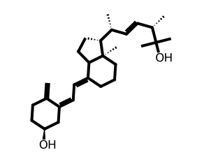 C=C1CC[C@H](O)C/C1=C/C=C1\CCC[C@@]2(C)C1CC[C@@H]2[C@H](C)/C=C/[C@H](C)C(C)(C)O